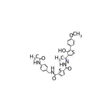 COc1ccc(-c2scc(/C(C)=N/NC(=O)c3ccc(C(=O)NCc4ccc(NC(C)=O)cc4)s3)c2O)cc1